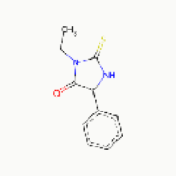 CCN1C(=O)C(c2ccccc2)NC1=S